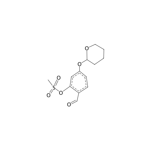 CS(=O)(=O)Oc1cc(OC2CCCCO2)ccc1C=O